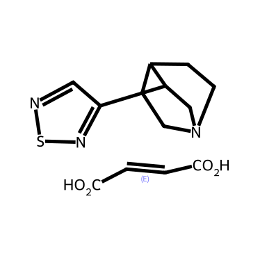 O=C(O)/C=C/C(=O)O.c1nsnc1C1CN2CCC1CC2